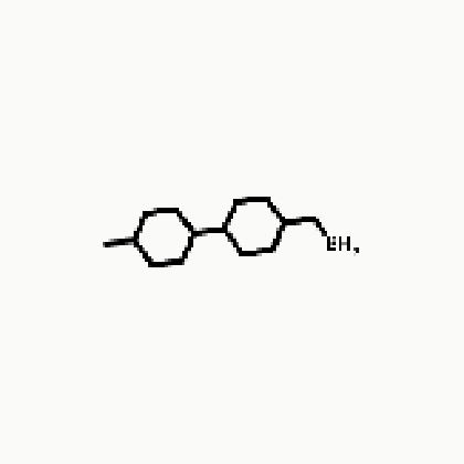 BCC1CCC(C2CCC(C)CC2)CC1